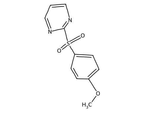 COc1ccc(S(=O)(=O)c2ncccn2)cc1